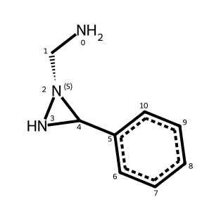 NC[N@@]1NC1c1ccccc1